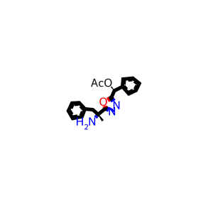 CC(=O)O[C@H](c1ccccc1)c1nnc([C@](C)(N)Cc2ccccc2)o1